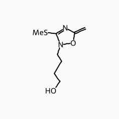 C=C1N=C(SC)N(CCCCO)O1